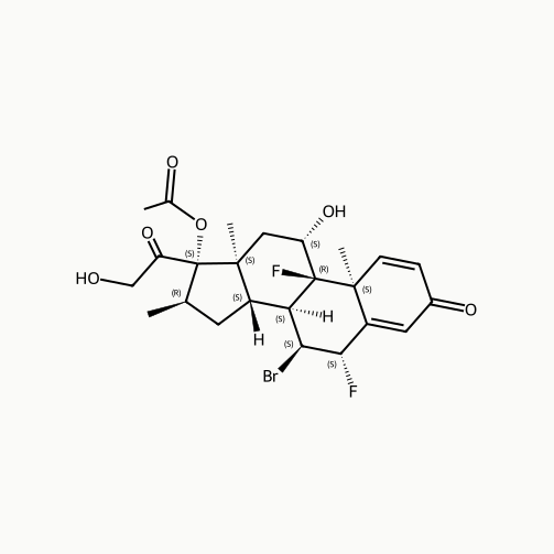 CC(=O)O[C@@]1(C(=O)CO)[C@H](C)C[C@H]2[C@@H]3[C@H](Br)[C@@H](F)C4=CC(=O)C=C[C@]4(C)[C@@]3(F)[C@@H](O)C[C@@]21C